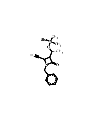 C#CC1C([C@@H](C)O[Si](C)(C)C(C)(C)C)C(=O)N1Cc1ccccc1